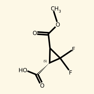 COC(=O)C1[C@@H](C(=O)O)C1(F)F